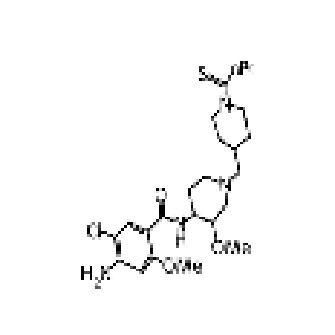 CCCC(=S)N1CCC(CN2CCC(NC(=O)c3cc(Cl)c(N)cc3OC)C(OC)C2)CC1